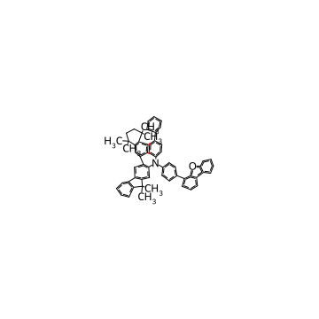 CC1(C)CCC(C)(C)c2cc(-c3cc4c(cc3N(c3ccc(-c5ccccc5)cc3)c3ccc(-c5cccc6c5oc5ccccc56)cc3)C(C)(C)c3ccccc3-4)ccc21